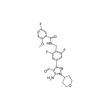 COc1ccc(F)cc1C(=O)NCc1c(F)cc(-c2nn(C3CCOCC3)c(N)c2C=O)cc1F